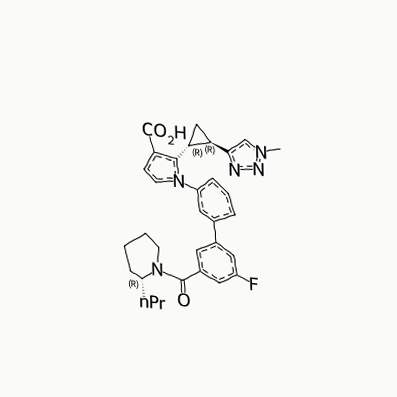 CCC[C@@H]1CCCCN1C(=O)c1cc(F)cc(-c2cccc(-n3ccc(C(=O)O)c3[C@@H]3C[C@H]3c3cn(C)nn3)c2)c1